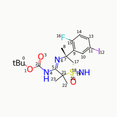 CC(C)(C)OC(=O)NC1=N[C@](C)(c2cc(I)ccc2F)C[S@](=N)(=O)C1(C)C